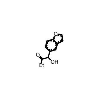 CCC(=O)C(O)c1ccc2occc2c1